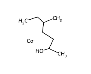 CCC(C)CCC(C)O.[Co]